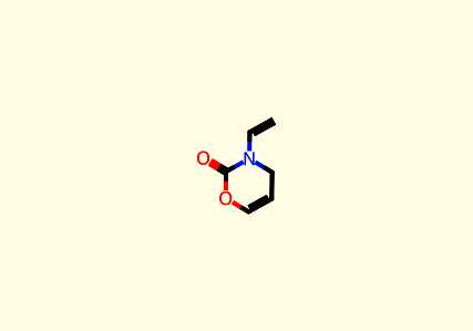 C=CN1CC=COC1=O